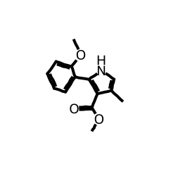 COC(=O)c1c(C)c[nH]c1-c1ccccc1OC